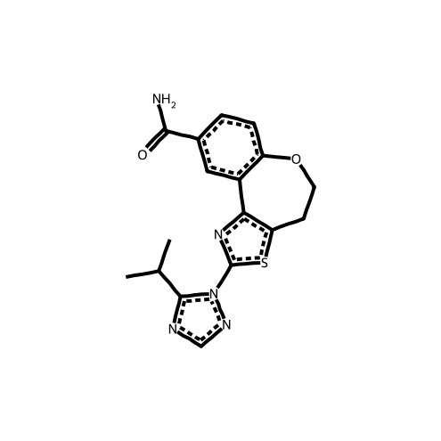 CC(C)c1ncnn1-c1nc2c(s1)CCOc1ccc(C(N)=O)cc1-2